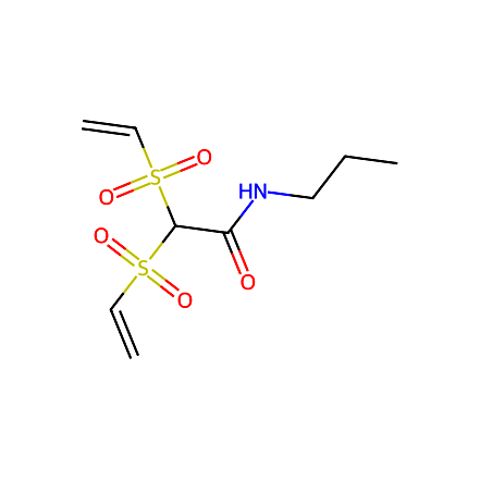 C=CS(=O)(=O)C(C(=O)NCCC)S(=O)(=O)C=C